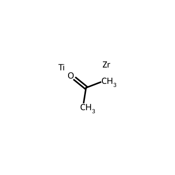 CC(C)=O.[Ti].[Zr]